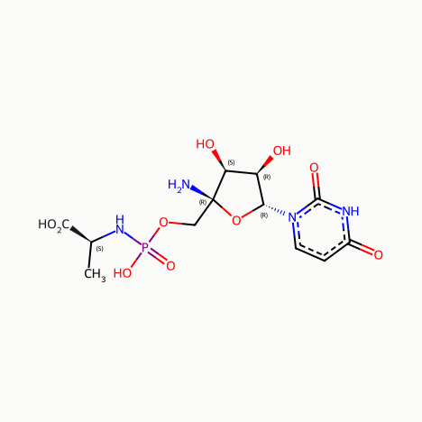 C[C@H](NP(=O)(O)OC[C@@]1(N)O[C@@H](n2ccc(=O)[nH]c2=O)[C@H](O)[C@@H]1O)C(=O)O